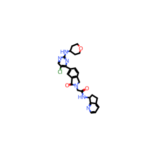 O=C(CN1Cc2ccc(-c3nc(NC4CCOCC4)ncc3Cl)cc2C1=O)NC1CCc2cccnc21